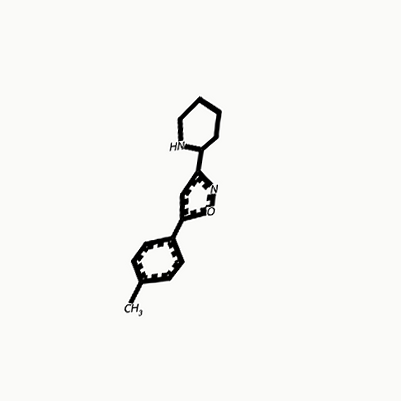 Cc1ccc(-c2cc(C3CCCCN3)no2)cc1